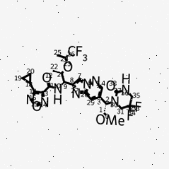 COC[C@H](c1cnn2cc([C@@H](NC(=O)c3nonc3C3CC3)[C@@H](C)O[C@@H](C)C(F)(F)F)nc2c1)N1CC(F)(F)CNC1=O